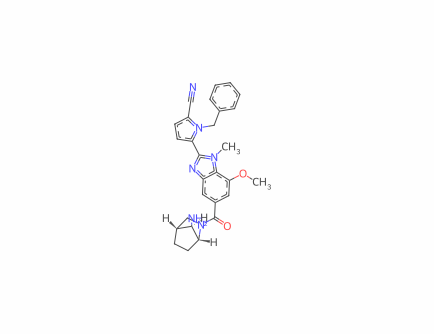 COc1cc(C(=O)N2C[C@H]3CC[C@@H]2[C@@H]3N)cc2nc(-c3ccc(C#N)n3Cc3ccccc3)n(C)c12